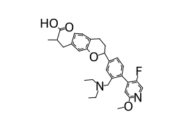 CCN(CC)Cc1cc(C2CCc3ccc(CC(C)C(=O)O)cc3O2)ccc1-c1cc(OC)ncc1F